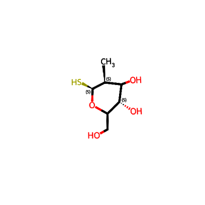 C[C@H]1C(O)[C@H](O)C(CO)O[C@H]1S